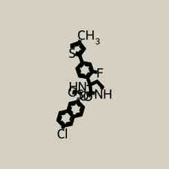 Cc1csc(-c2ccc([C@@]3(NS(=O)(=O)c4ccc5cc(Cl)ccc5c4)CCNC3=O)c(F)c2)c1